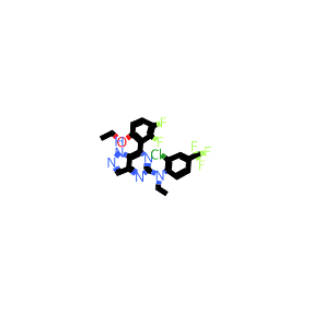 CCOc1ccc(F)c(F)c1-c1nc(N(CC)c2ccc(C(F)(F)F)cc2Cl)nc2cn[nH]c12